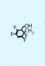 CC1(F)C(F)=CC(F)=C(F)C1CO